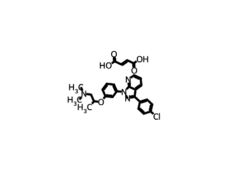 CC(CN(C)C)Oc1cccc(-n2nc(-c3ccc(Cl)cc3)c3cccnc32)c1.O=C(O)C=CC(=O)O